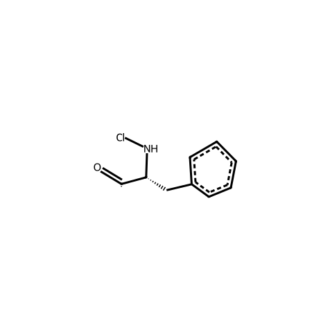 O=[C][C@@H](Cc1ccccc1)NCl